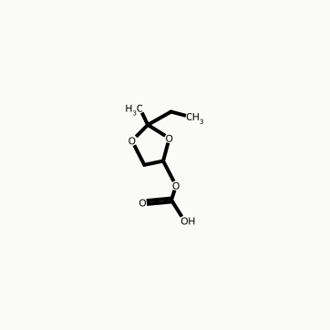 CCC1(C)OCC(OC(=O)O)O1